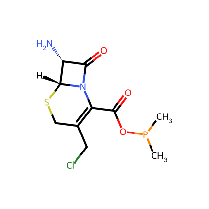 CP(C)OC(=O)C1=C(CCl)CS[C@@H]2[C@H](N)C(=O)N12